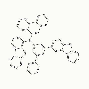 c1ccc(-c2cc(-c3ccc4oc5ccccc5c4c3)cc(N(c3cc4ccccc4c4ccccc34)c3cccc4c3sc3ccccc34)c2)cc1